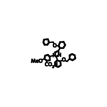 COc1ccc(-n2cc(-c3ccccc3OCc3ccccc3)nc2-c2ccccc2OCc2ccccc2)cc1C(=O)O